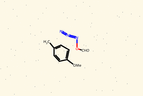 COc1ccc(C)cc1.[N-]=[N+]=NOC=O